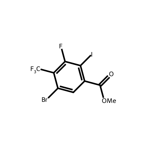 COC(=O)c1cc(Br)c(C(F)(F)F)c(F)c1I